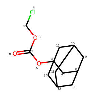 O=C(OCCl)OC12CC3CC(CC(C3)C1)C2